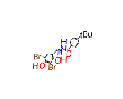 CC(C)(C)c1ccc(C(=O)NN=Cc2cc(Br)c(O)c(Br)c2O)cc1